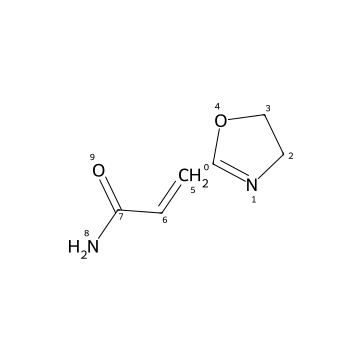 C1=NCCO1.C=CC(N)=O